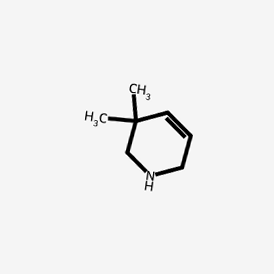 CC1(C)C=CCNC1